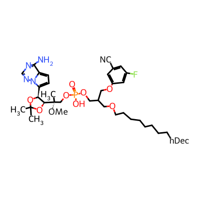 CCCCCCCCCCCCCCCCCCOCC(COc1cc(F)cc(C#N)c1)COP(=O)(O)OC[C@@](C)(OC)[C@H]1OC(C)(C)O[C@H]1c1ccc2c(N)ncnn12